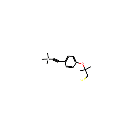 CC(C)(CS)Oc1ccc(C#C[Si](C)(C)C)cc1